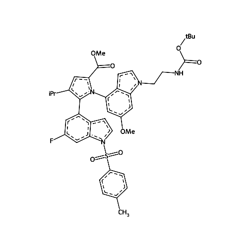 COC(=O)c1cc(C(C)C)c(-c2cc(F)cc3c2ccn3S(=O)(=O)c2ccc(C)cc2)n1-c1cc(OC)cc2c1ccn2CCNC(=O)OC(C)(C)C